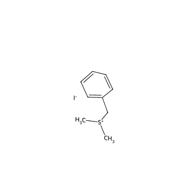 C[S+](C)Cc1ccccc1.[I-]